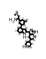 CN(C)CC(N)c1cc(F)cc(-c2cccc3[nH]c(-c4n[nH]c5ncc(C6=CCNCC6)cc45)cc23)c1